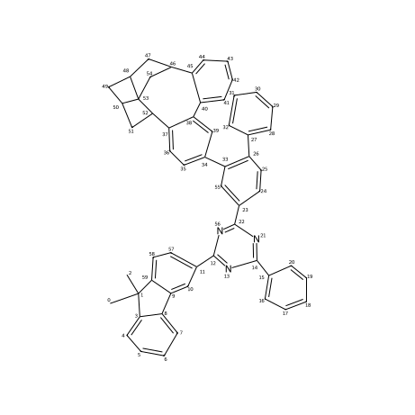 CC1(C)c2ccccc2-c2cc(-c3nc(-c4ccccc4)nc(-c4ccc(-c5ccccc5)c(-c5ccc6c(c5)-c5ccccc5C5CC7CC8CC6C78C5)c4)n3)ccc21